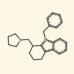 c1ccc(Cn2c3c(c4ccccc42)CCCC3CN2CCCC2)cc1